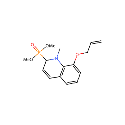 C=CCOc1cccc2c1N(C)C(P(=O)(OC)OC)C=C2